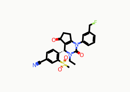 CCN1C(=O)N(c2cccc(CF)c2)C2=C(C(=O)CC2)[C@H]1c1ccc(C#N)cc1S(C)(=O)=O